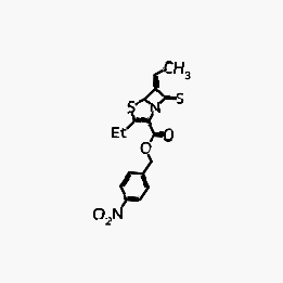 C/C=C1\C(=S)N2C(C(=O)OCc3ccc([N+](=O)[O-])cc3)=C(CC)SC12